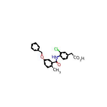 Cc1ccc(OCc2ccccc2)cc1C(=O)Nc1ccc(CC(=O)O)cc1Cl